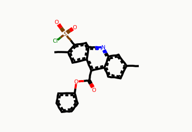 Cc1ccc2c(C(=O)Oc3ccccc3)c3cc(C)c(S(=O)(=O)Cl)cc3nc2c1